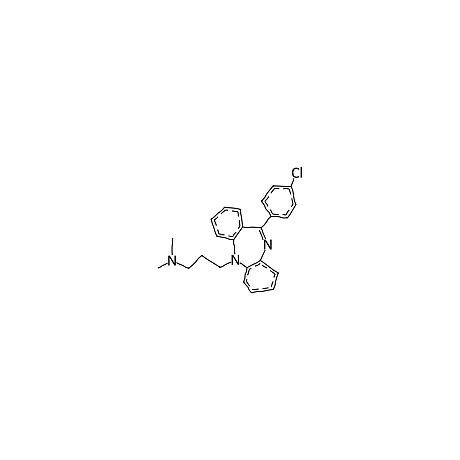 CN(C)CCCN1c2ccccc2N=C(c2ccc(Cl)cc2)c2ccccc21